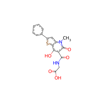 Cn1c(=O)c(C(=O)NCC(=O)O)c(O)c2sc(-c3ccccc3)cc21